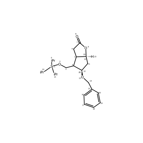 CC(C)[Si](OCC1C2CC(=O)O[C@H]2C[C@H]1OCc1ccccc1)(C(C)C)C(C)C